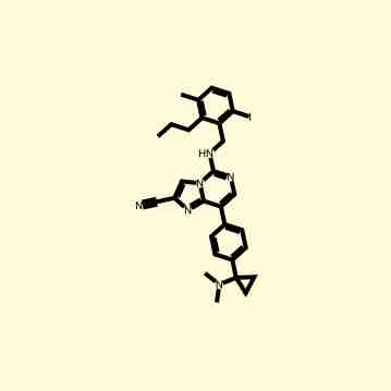 CCCc1c(C)ccc(I)c1CNc1ncc(-c2ccc(C3(N(C)C)CC3)cc2)c2nc(C#N)cn12